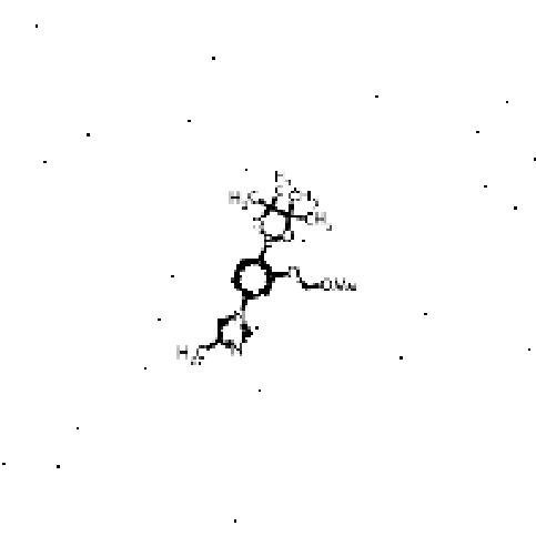 COCOc1cc(-n2cnc(C)c2)ccc1B1OC(C)(C)C(C)(C)O1